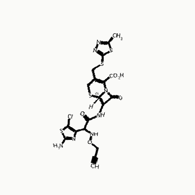 C#CCONC(C(=O)NC1C(=O)N2C(C(=O)O)=C(CSc3nnc(C)s3)CS[C@@H]12)c1nc(N)sc1Cl